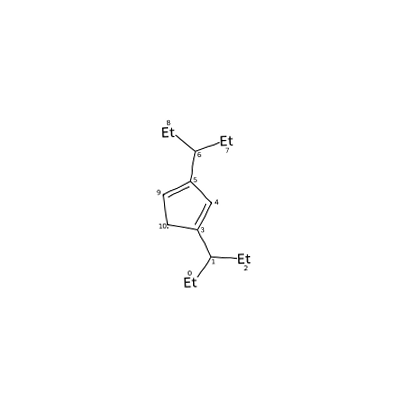 CCC(CC)C1=CC(C(CC)CC)=C[CH]1